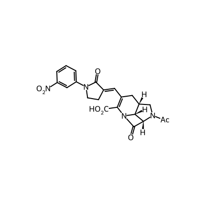 CC(=O)N1C[C@H]2CC(/C=C3\CCN(c4cccc([N+](=O)[O-])c4)C3=O)=C(C(=O)O)N3C(=O)[C@@H]1[C@@H]23